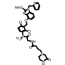 COc1nc2c(OCc3c(Cl)ccc(N(C)C(=O)CNC(=O)CCCN4CCNC(=O)C4)c3Cl)cccc2n1Cc1ccccn1